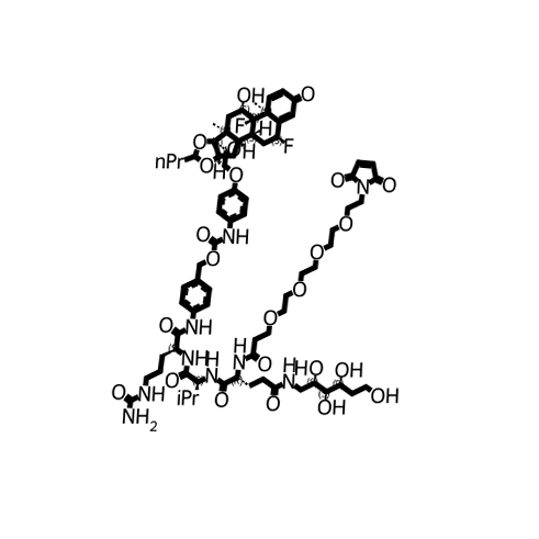 CCCC1O[C@@H]2C[C@H]3[C@@H]4C[C@H](F)C5=CC(=O)C=C[C@]5(C)[C@@]4(F)[C@@H](O)C[C@]3(C)[C@]2(C(=O)COc2ccc(NC(=O)OCc3ccc(NC(=O)[C@H](CCCNC(N)=O)NC(=O)[C@@H](NC(=O)[C@@H](CCC(=O)NC[C@H](O)[C@@H](O)[C@H](O)CCO)NC(=O)CCOCCOCCOCCOCCN4C(=O)C=CC4=O)C(C)C)cc3)cc2)O1